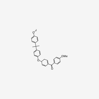 COc1ccc(C(=O)C2=CCC(Oc3ccc(C(C)(C)c4ccc(OI)cc4)cc3)C=C2)cc1